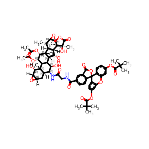 CC(=O)O[C@H]1C2C([C@@H](O)[C@@H](NC(=O)CNC(=O)c3ccc4c(c3)C(=O)OC43c4ccc(OC(=O)C(C)(C)C)cc4Oc4cc(OC(=O)C(C)(C)C)ccc43)[C@H]3C[C@@H]4O[C@@H]4[C@H](O)[C@]23C)[C@@H]2[C@@H](O)[C@@H]3[C@H]([C@H](C)[C@H]4O[C@]45OC(=O)[C@@](C)(O)[C@]35C)[C@@]2(C)[C@H]1OC(C)=O